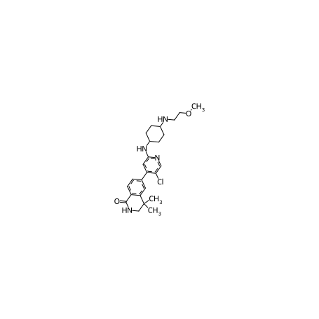 COCCNC1CCC(Nc2cc(-c3ccc4c(c3)C(C)(C)CNC4=O)c(Cl)cn2)CC1